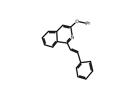 CC(C)Oc1cc2ccccc2c(C=Cc2ccccc2)n1